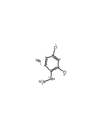 Br.NNc1ccc(Cl)cc1Cl